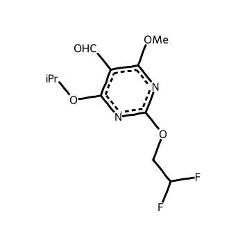 COc1nc(OCC(F)F)nc(OC(C)C)c1C=O